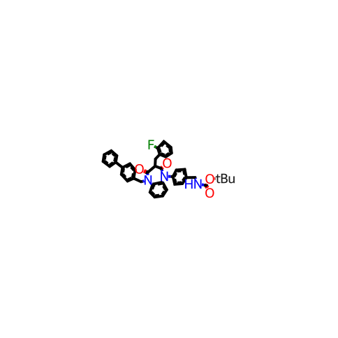 CC(C)(C)OC(=O)NCc1ccc(N2C(=O)C(Cc3ccccc3F)C(=O)N(Cc3ccc(-c4ccccc4)cc3)c3ccccc32)cc1